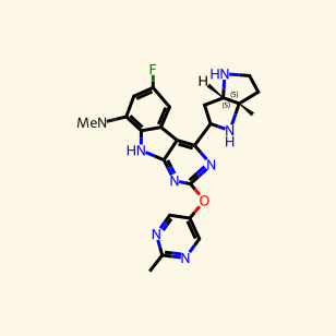 CNc1cc(F)cc2c1[nH]c1nc(Oc3cnc(C)nc3)nc(C3C[C@@H]4NCC[C@]4(C)N3)c12